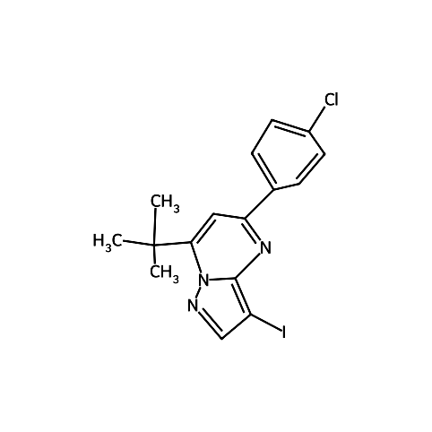 CC(C)(C)c1cc(-c2ccc(Cl)cc2)nc2c(I)cnn12